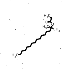 C=CC(=O)OC(C)(C)CCCCCCCCCCCCCC